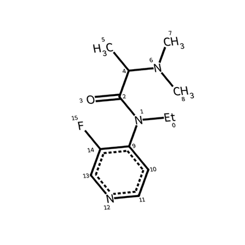 CCN(C(=O)C(C)N(C)C)c1ccncc1F